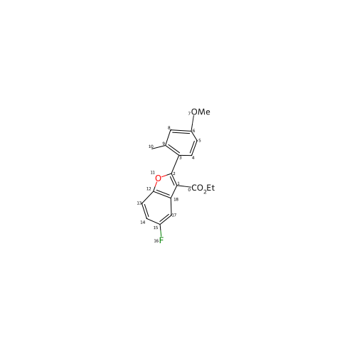 CCOC(=O)c1c(-c2ccc(OC)cc2C)oc2ccc(F)cc12